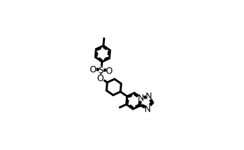 Cc1ccc(S(=O)(=O)OC2CCC(c3cn4ncnc4cc3C)CC2)cc1